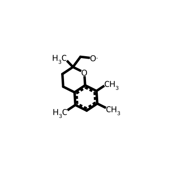 Cc1cc(C)c2c(c1C)OC(C)(C[O])CC2